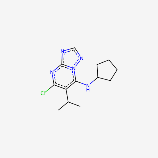 CC(C)c1c(Cl)nc2ncnn2c1NC1CCCC1